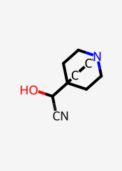 N#CC(O)C12CCN(CC1)CC2